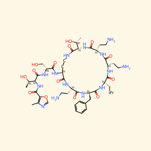 Cc1ncoc1C(=O)N[C@H](C(=O)N[C@H](CO)C(=O)N[C@H]1CCNC(=O)[C@H]([C@@H](C)O)NC(=O)[C@H](CCN)NC(=O)[C@H](CCN)NC(=O)[C@H](CC(C)C)NC(=O)[C@@H](Cc2ccccc2)NC(=O)[C@H](CCN)NC1=O)[C@@H](C)O